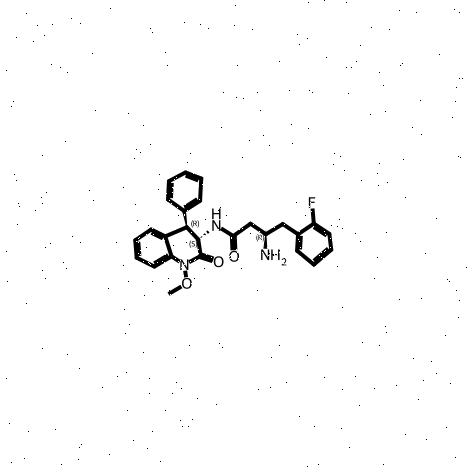 CON1C(=O)[C@@H](NC(=O)C[C@H](N)Cc2ccccc2F)[C@H](c2ccccc2)c2ccccc21